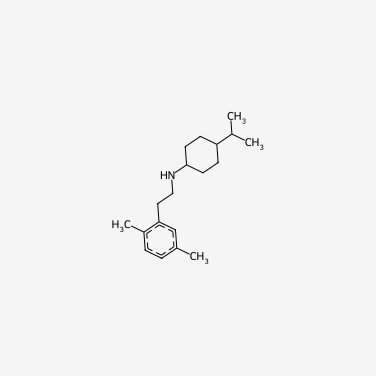 Cc1ccc(C)c(CCNC2CCC(C(C)C)CC2)c1